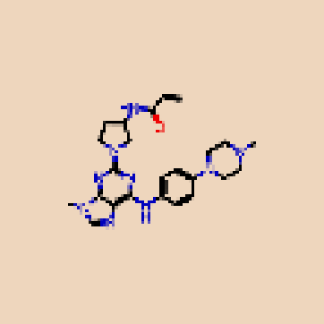 C=CC(=O)NC1CCN(c2nc(Nc3ccc(N4CCN(C)CC4)cc3)c3ncn(C)c3n2)C1